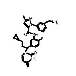 C=C1C=CN(C(CCC2CC2)c2ccc(F)c(NC(=O)c3cc(C)nn3-c3cccc(CN)c3)c2)C(=O)N1